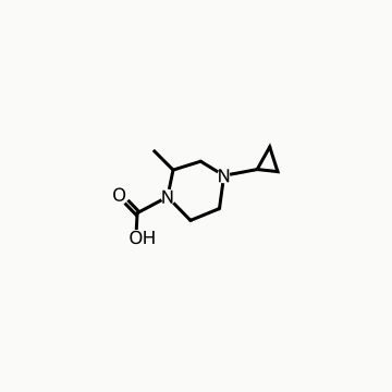 CC1CN(C2CC2)CCN1C(=O)O